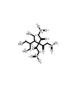 O=C(C[N+](=O)[O-])C(C(=O)C[N+](=O)[O-])(C(=O)C[N+](=O)[O-])C(CO)C(CO)CO